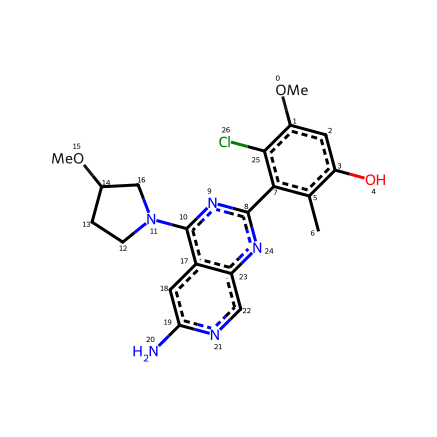 COc1cc(O)c(C)c(-c2nc(N3CCC(OC)C3)c3cc(N)ncc3n2)c1Cl